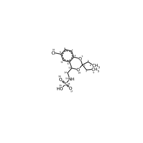 CCC1(CC)Oc2ccc(Cl)cc2C(CNS(=O)(=O)O)O1